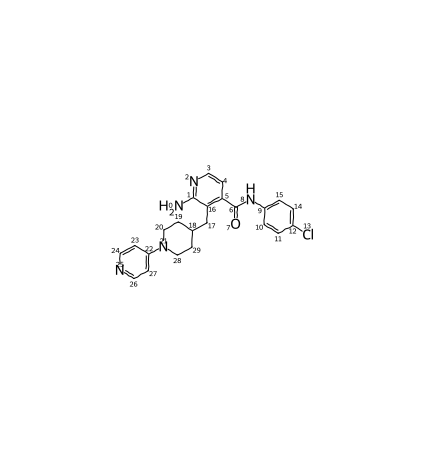 Nc1nccc(C(=O)Nc2ccc(Cl)cc2)c1CC1CCN(c2ccncc2)CC1